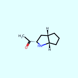 CC(=O)[C@@H]1C[C@@H]2CCC[C@@H]2N1